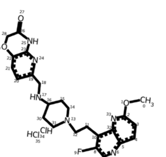 COc1ccc2ncc(F)c(CCN3CCC(NCc4ccc5c(n4)NC(=O)CO5)CC3)c2n1.Cl.Cl